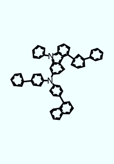 c1ccc(-c2ccc(N(c3ccc(-c4cccc5ccccc45)cc3)c3ccc4c5c(-c6cccc(-c7ccccc7)c6)cccc5n(-c5ccccc5)c4c3)cc2)cc1